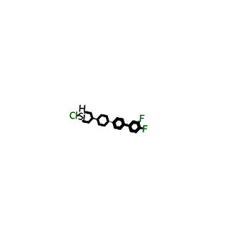 Fc1ccc(-c2ccc([C@H]3CC[C@H](C4CC[SiH](Cl)CC4)CC3)cc2)cc1F